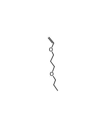 C=COCCCOCCC